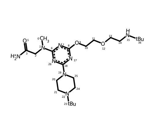 CN(CC(N)=O)c1nc(OCCOCCNC(C)(C)C)nc(N2CCN(C(C)(C)C)CC2)n1